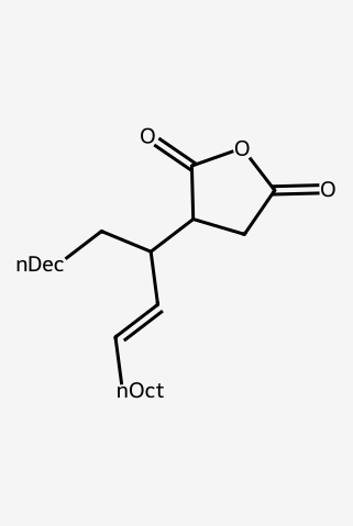 CCCCCCCC/C=C/C(CCCCCCCCCCC)C1CC(=O)OC1=O